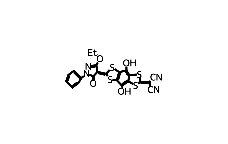 CCOC1=NN(c2ccccc2)C(=O)C1=C1Sc2c(O)c3c(c(O)c2S1)SC(=C(C#N)C#N)S3